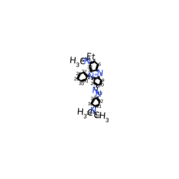 CCN(C)c1ccc2nc3ccc(/N=N/c4ccc(N(C)C)cc4)cc3[n+](-c3ccccc3)c2c1